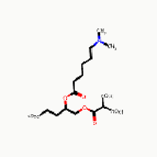 CCCCCCCCCCCCC(COC(=O)C(CCCCCCCC)CCCCCCCC)OC(=O)CCCCCN(C)C